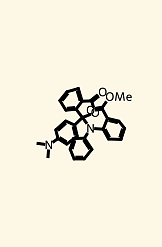 COC(=O)c1ccccc1N(c1ccccc1)C1(c2ccc(N(C)C)cc2)OC(=O)c2ccccc21